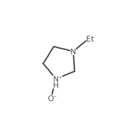 CCN1CC[NH+]([O-])C1